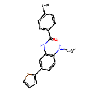 O=Cc1ccc(C(=O)Nc2cc(-c3cccs3)ccc2NC(=O)O)cc1